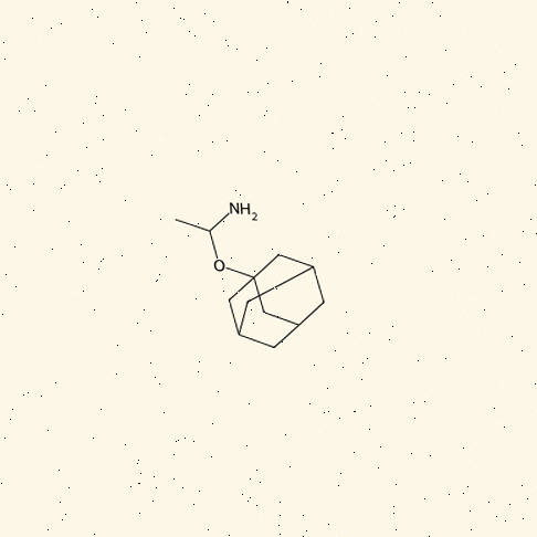 CC(N)OC12CC3CC(CC(C3)C1)C2